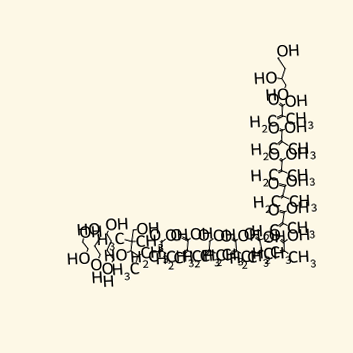 C=C(C)C(=O)O.C=C(C)C(=O)O.C=C(C)C(=O)O.C=C(C)C(=O)O.C=C(C)C(=O)O.C=C(C)C(=O)O.C=C(C)C(=O)O.C=C(C)C(=O)O.C=C(C)C(=O)O.C=C(C)C(=O)O.C=C(C)C(=O)O.CC(C)C(O)C(C)(C)CO.OCCC(O)CO.OCCCCO.OCCCO.OCCO